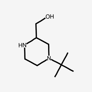 CC(C)(C)N1CCNC(CO)C1